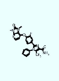 Cn1c(=O)[nH]c2nccc(Oc3ccc(-c4nc(C(N)=O)c(C(F)(F)F)n4-c4ccccc4)cc3F)c21